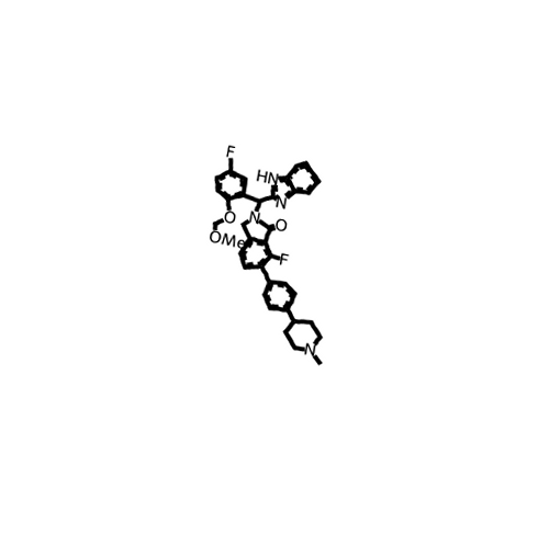 COCOc1ccc(F)cc1C(c1nc2ccccc2[nH]1)N1Cc2ccc(-c3ccc(C4CCN(C)CC4)cc3)c(F)c2C1=O